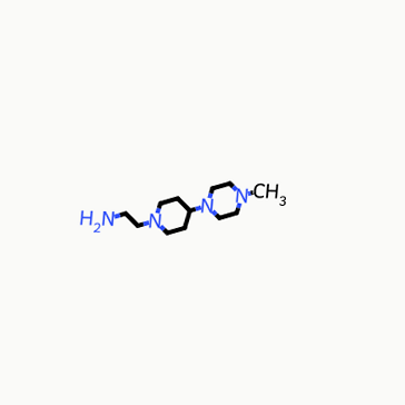 CN1CCN(C2CCN(CCN)CC2)CC1